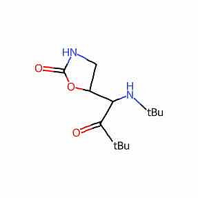 CC(C)(C)NC(C(=O)C(C)(C)C)C1CNC(=O)O1